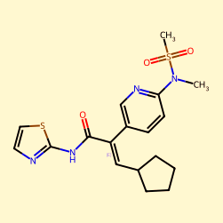 CN(c1ccc(/C(=C\C2CCCC2)C(=O)Nc2nccs2)cn1)S(C)(=O)=O